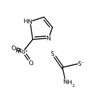 NC(=S)[S-].[O]=[Mo+](=[O])[c]1ncc[nH]1